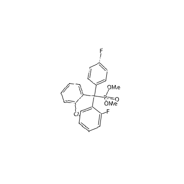 COP(=O)(OC)C(c1ccc(F)cc1)(c1ccccc1F)c1ccccc1Cl